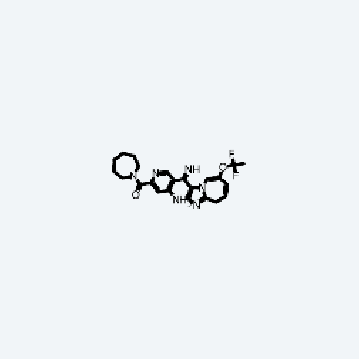 CC(F)(F)OC1=Cn2c(C(=N)c3cnc(C(=O)N4CCCCCC4)cc3N)cnc2CC=C1